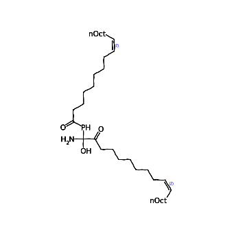 CCCCCCCC/C=C\CCCCCCCC(=O)PC(N)(O)C(=O)CCCCCCC/C=C\CCCCCCCC